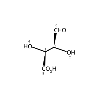 O=C[C@@H](O)[C@H](O)C(=O)O